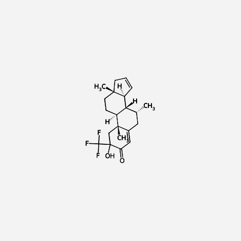 C[C@@H]1CC2=CC(=O)C(O)(C(F)(F)F)C[C@]2(C)[C@H]2CC[C@]3(C)CC=C[C@H]3[C@H]12